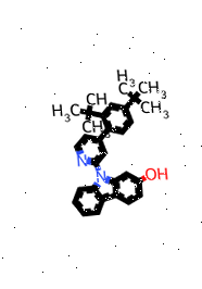 CC(C)(C)c1ccc(-c2ccnc(-n3c4ccccc4c4ccc(O)cc43)c2)c(C(C)(C)C)c1